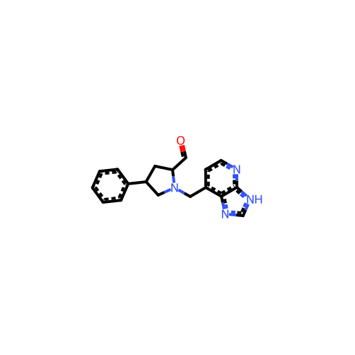 O=CC1CC(c2ccccc2)CN1Cc1ccnc2[nH]cnc12